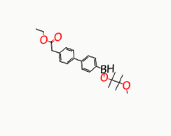 CCOC(=O)Cc1ccc(-c2ccc(BOC(C)(C)C(C)(C)OC)cc2)cc1